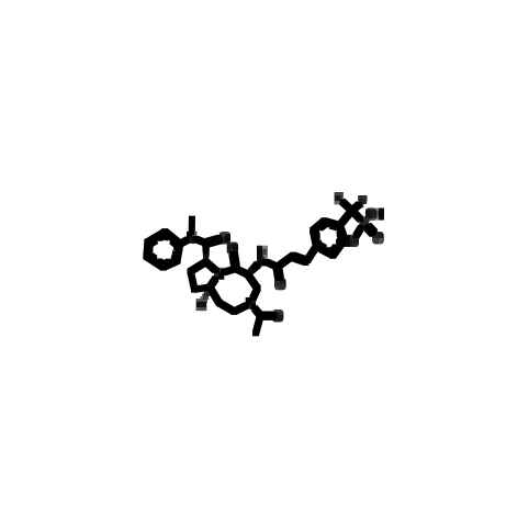 CC(=O)N1CC[C@H]2CC[C@@H](C(=O)N(C)c3ccccc3)N2C(=O)[C@@H](NC(=O)/C=C/c2ccc(C(F)(F)P(=O)(O)O)cc2)C1